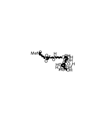 CNC(=O)CCCCCN1C(=O)CC(SCCC(=O)NCCCCCO[C@H]2OC(CO[C@]3(C(=O)O)C[C@@H](O)[C@@H](C)C([C@H](O)[C@H](O)CO)O3)[C@H](O)[C@H](O)C2O)C1=O